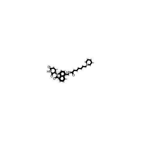 O=C(CCCCCCN1CCCCC1)NCc1ccc2c3c(cccc13)C(=O)N2C1CCC(=O)NC1=O